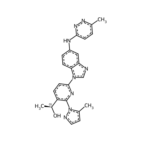 Cc1ccc(Nc2ccc3c(c2)ncn3-c2ccc([C@H](C)O)c(-n3nccc3C)n2)nn1